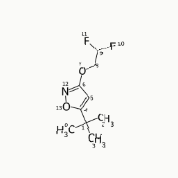 CC(C)(C)c1cc(OCC(F)F)no1